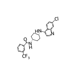 O=C(N[C@H]1CC[C@@H](Nc2ccnc3cc(Cl)ccc23)CC1)c1cccc(C(F)(F)F)c1